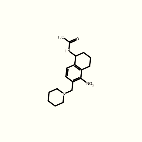 O=C(NC1CCCc2c1ccc(CN1CCCCC1)c2[N+](=O)[O-])C(F)(F)F